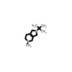 CN1CCC2=C(C1)CN(C(C)(C)C)C2